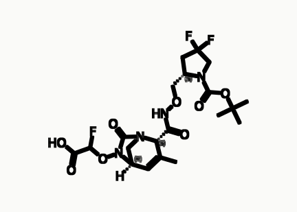 CC1=C[C@@H]2CN(C(=O)N2OC(F)C(=O)O)[C@@H]1C(=O)NOC[C@@H]1CC(F)(F)CN1C(=O)OC(C)(C)C